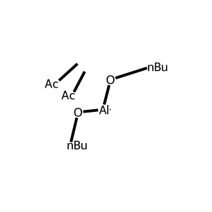 CC(C)=O.CC(C)=O.CCCC[O][Al][O]CCCC